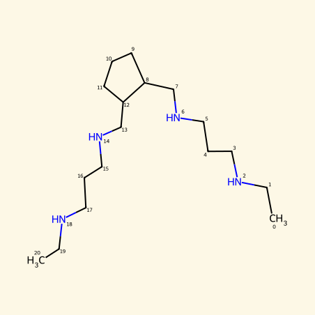 CCNCCCNCC1CCCC1CNCCCNCC